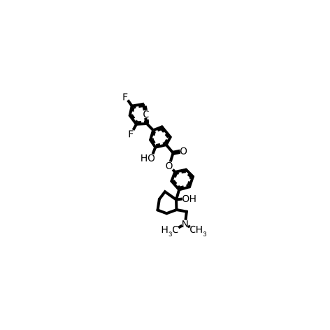 CN(C)CC1CCCCC1(O)c1cccc(OC(=O)c2ccc(-c3ccc(F)cc3F)cc2O)c1